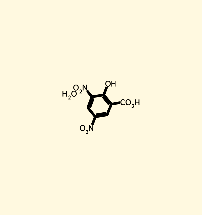 O.O=C(O)c1cc([N+](=O)[O-])cc([N+](=O)[O-])c1O